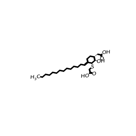 CCCCCCCCCCCCC/C=C1\CC[C@H](CC(=O)O)[C@H](O)[C@@H]1SCC(=O)O